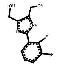 OCc1nc(-c2cccc(F)c2F)[nH]c1CO